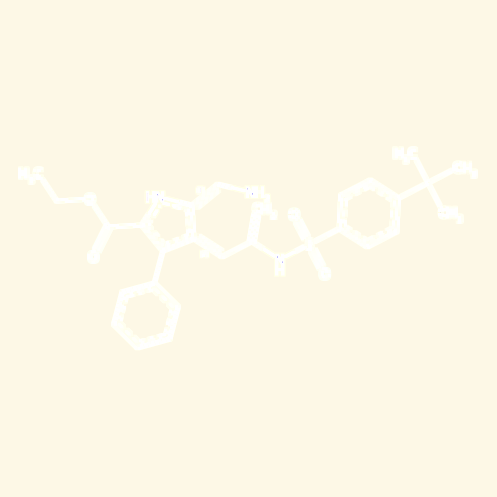 C=C(/C=c1/c(-c2ccccc2)c(C(=O)OCC)[nH]/c1=C/N)NS(=O)(=O)c1ccc(C(C)(C)C)cc1